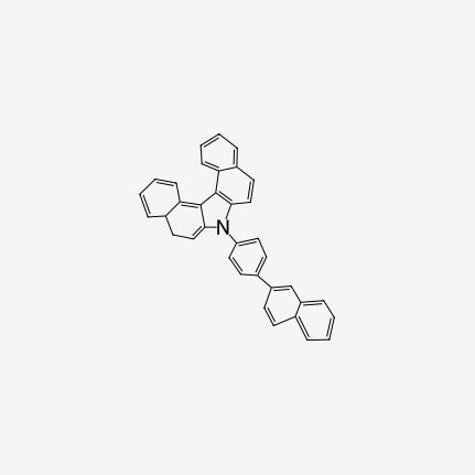 C1=CC2=c3c(n(-c4ccc(-c5ccc6ccccc6c5)cc4)c4ccc5ccccc5c34)=CCC2C=C1